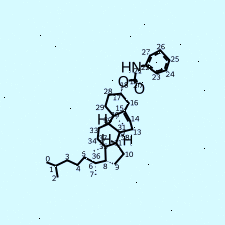 CC(C)CCC[C@@H](C)[C@H]1CC[C@H]2[C@@H]3CC=C4C[C@@H](OC(=O)Nc5ccccc5)CC[C@]4(C)[C@H]3CC[C@]12C